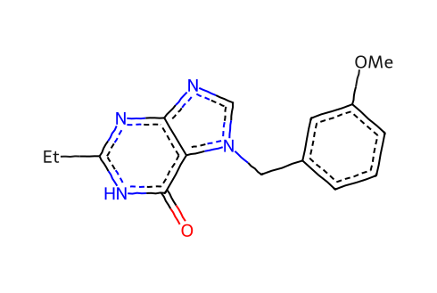 CCc1nc2ncn(Cc3cccc(OC)c3)c2c(=O)[nH]1